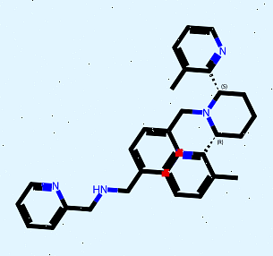 Cc1cccnc1[C@H]1CCC[C@@H](c2ncccc2C)N1Cc1ccc(CNCc2ccccn2)cc1